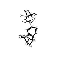 CC1(C)OB(c2ccc3c(c2)C(=O)C2CC3C2)OC1(C)C